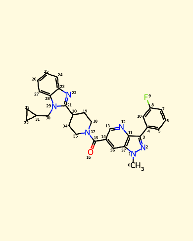 Cn1nc(-c2cccc(F)c2)c2ncc(C(=O)N3CCC(c4nc5ccccc5n4CC4CC4)CC3)cc21